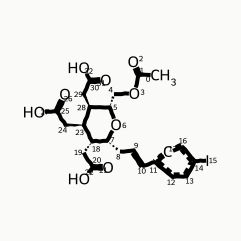 CC(=O)OC[C@@H]1O[C@H](CC=Cc2ccc(I)cc2)[C@H](CC(=O)O)[C@@H](CC(=O)O)[C@H]1CC(=O)O